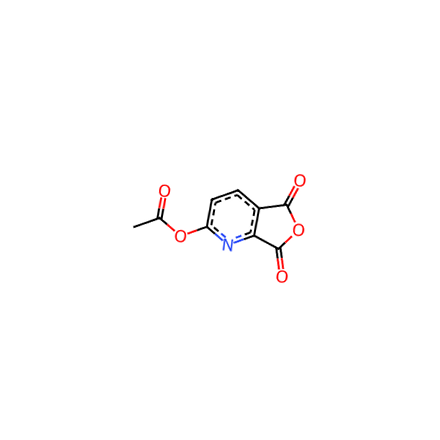 CC(=O)Oc1ccc2c(n1)C(=O)OC2=O